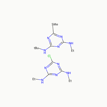 CCNc1nc(Cl)nc(NCC)n1.CCNc1nc(NC(C)(C)C)nc(SC)n1